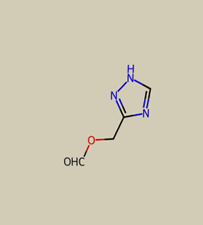 O=COCc1nc[nH]n1